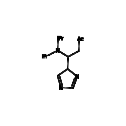 CC(=O)CC(C1C=NC=N1)N(C(C)C)C(C)C